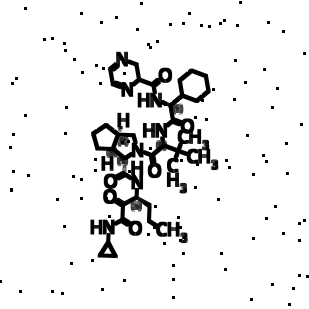 CCC[C@H](NC(=O)[C@@H]1[C@H]2CCC[C@H]2CN1C(=O)[C@@H](NC(=O)[C@@H](NC(=O)C1CN=CC=N1)C1CCCCC1)C(C)(C)C)C(=O)C(=O)NC1CC1